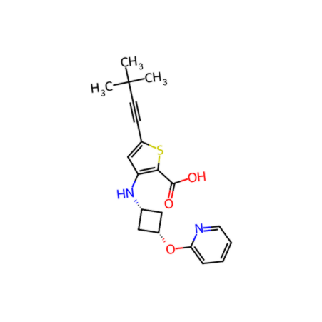 CC(C)(C)C#Cc1cc(N[C@H]2C[C@@H](Oc3ccccn3)C2)c(C(=O)O)s1